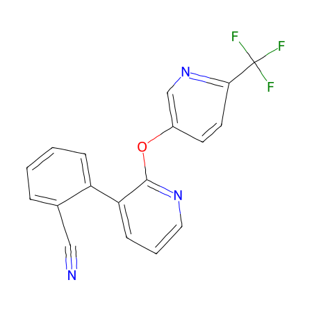 N#Cc1ccccc1-c1cccnc1Oc1ccc(C(F)(F)F)nc1